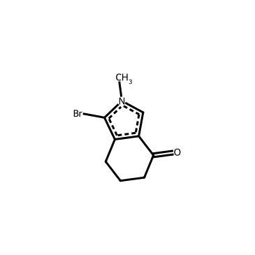 Cn1cc2c(c1Br)CCCC2=O